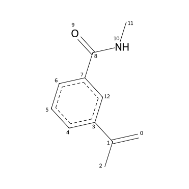 C=C(C)c1cccc(C(=O)NC)c1